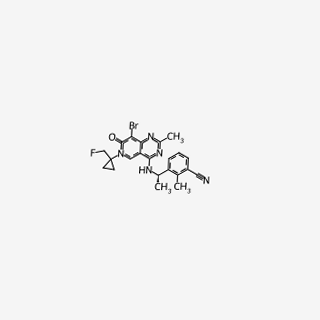 Cc1nc(N[C@H](C)c2cccc(C#N)c2C)c2cn(C3(CF)CC3)c(=O)c(Br)c2n1